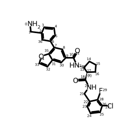 NCc1cccc(-c2cc(C(=O)N[C@@H]3CCC[C@H]3C(=O)NCc3cccc(Cl)c3F)cc3ccoc23)c1